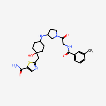 NC(=O)c1cnc(CC2(O)CCC(NC3CCN(C(=O)CNC(=O)c4cccc(C(F)(F)F)c4)C3)CC2)s1